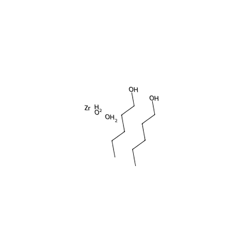 CCCCCO.CCCCCO.O.O.[Zr]